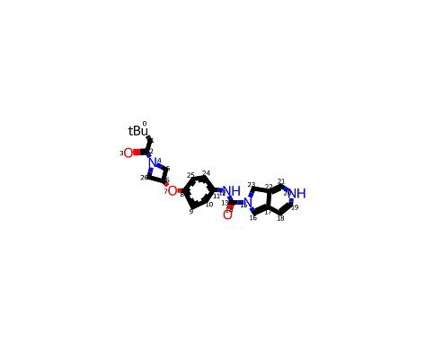 CC(C)(C)CC(=O)N1CC(Oc2ccc(NC(=O)N3C=C4C=CNC=C4C3)cc2)C1